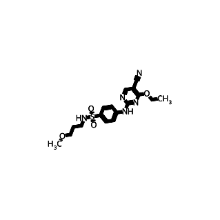 CCOc1nc(Nc2ccc(S(=O)(=O)NCCCOC)cc2)ncc1C#N